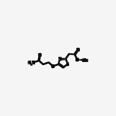 CC(C)(C)OC(=O)Cc1nc(OCCC(N)=O)cs1